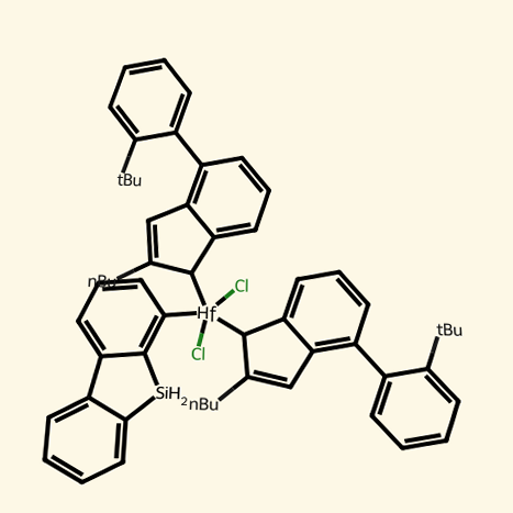 CCCCC1=Cc2c(-c3ccccc3C(C)(C)C)cccc2[CH]1[Hf]([Cl])([Cl])([c]1cccc2c1[SiH2]c1ccccc1-2)[CH]1C(CCCC)=Cc2c(-c3ccccc3C(C)(C)C)cccc21